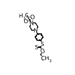 CCOC(=S)Sc1ccc(N2CCN(S(C)(=O)=O)CC2)cc1